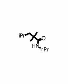 CCCNC(=O)C(C)(C)CC(C)C